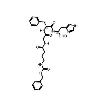 O=[C][C@H](Cc1c[nH]cn1)NC(=O)[C@H](Cc1ccccc1)NC(=O)CNC(=O)CCCNC(=O)OCc1ccccc1